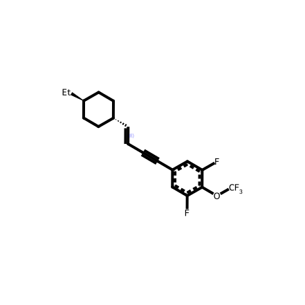 CC[C@H]1CC[C@H](/C=C/C#Cc2cc(F)c(OC(F)(F)F)c(F)c2)CC1